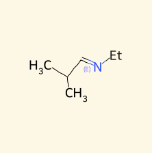 CC/N=C/C(C)C